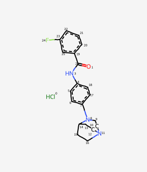 Cl.O=C(Nc1ccc(N2CCN3CCC2CC3)cc1)c1cccc(F)c1